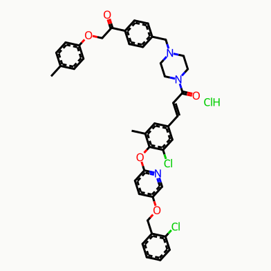 Cc1ccc(OCC(=O)c2ccc(CN3CCN(C(=O)/C=C/c4cc(C)c(Oc5ccc(OCc6ccccc6Cl)cn5)c(Cl)c4)CC3)cc2)cc1.Cl